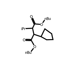 CCCCOC(=O)C(C(C)C)C(C(=O)OCCCC)C1CCCC1